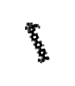 CC(C)(C)OC(=O)N1CCN(C2CCN(c3ccc(C(N)=O)cn3)CC2)CC1